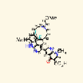 CNc1cc(F)c(F)c2c1[nH]c1ncc(-c3cnc4c(c3)c(=O)c(C(=O)O)cn4C)c(CC3CCCCCCN(CCOC)CCC3)c12